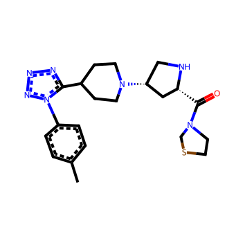 Cc1ccc(-n2nnnc2C2CCN([C@@H]3CN[C@H](C(=O)N4CCSC4)C3)CC2)cc1